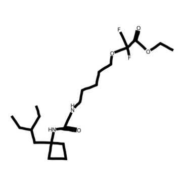 CCOC(=O)C(F)(F)OCCCCCNC(=O)NC1(CC(CC)CC)CCC1